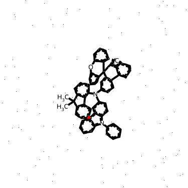 CC1(C)c2ccccc2-c2c(N(c3ccc4c(c3)C3(c5ccccc5Oc5ccccc53)c3cccc5cccc-4c35)c3ccc4c(c3)c3ccccc3n4-c3ccccc3)cccc21